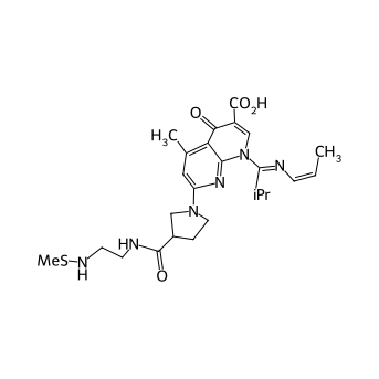 C/C=C\N=C(/C(C)C)n1cc(C(=O)O)c(=O)c2c(C)cc(N3CCC(C(=O)NCCNSC)C3)nc21